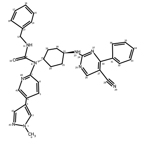 Cn1cc(-c2ccc(N(C(=O)NCc3ccccc3)[C@H]3CC[C@H](Nc4ncc(C#N)c(-c5ccccc5)n4)CC3)nc2)cn1